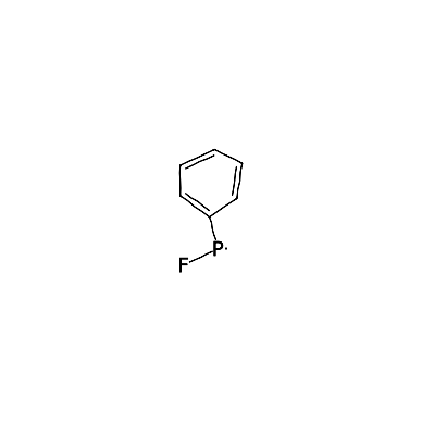 F[P]c1ccccc1